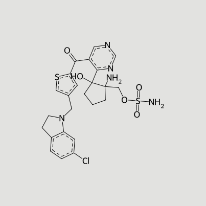 NC1(COS(N)(=O)=O)CCCC1(O)c1ncncc1C(=O)c1cc(CN2CCc3ccc(Cl)cc32)cs1